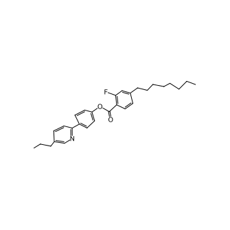 CCCCCCCCc1ccc(C(=O)Oc2ccc(-c3ccc(CCC)cn3)cc2)c(F)c1